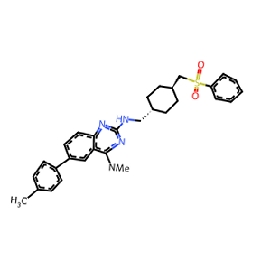 CNc1nc(NC[C@H]2CC[C@H](CS(=O)(=O)c3ccccc3)CC2)nc2ccc(-c3ccc(C)cc3)cc12